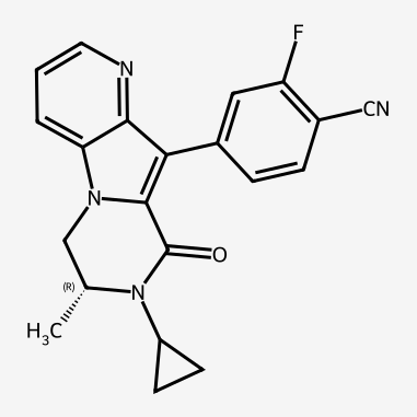 C[C@@H]1Cn2c(c(-c3ccc(C#N)c(F)c3)c3ncccc32)C(=O)N1C1CC1